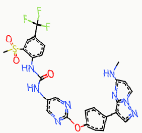 CNc1ccn2ncc(-c3ccc(Oc4ncc(NC(=O)Nc5ccc(C(F)(F)F)cc5S(C)(=O)=O)cn4)cc3)c2n1